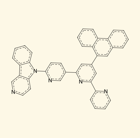 c1ccc(-c2cc(-c3cc4ccccc4c4ccccc34)cc(-c3ccc(-n4c5ccccc5c5cnccc54)nc3)n2)nc1